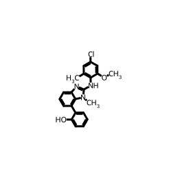 COc1cc(Cl)cc(C)c1Nc1nc2cccc(-c3ccccc3O)c2n1C